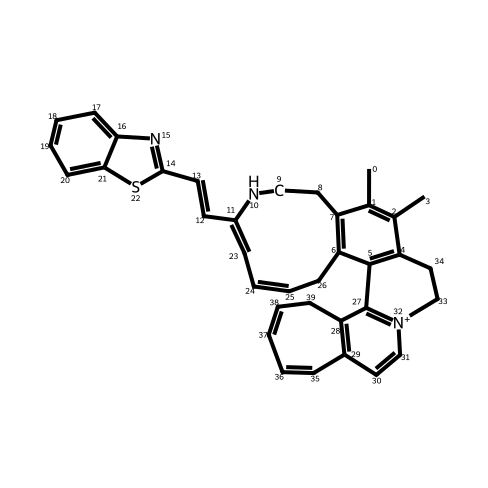 Cc1c(C)c2c(c3c1CCNC(/C=C/c1nc4ccccc4s1)=C\C=C/C3)-c1c3c(cc[n+]1CC2)C=CC=CC3